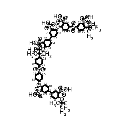 CC(C)(C)Oc1ccc(-c2ccc(Oc3ccc(S(=O)(=O)c4ccc(C(C)(C)C(C)(P)Oc5ccc(-c6ccc(Oc7ccc(S(=O)(=O)c8ccc(C(C)(C)C)c(S(=O)(=O)O)c8)cc7S(=O)(=O)O)c(S(=O)(=O)O)c6)cc5S(=O)(=O)O)cc4)cc3)c(S(=O)(=O)O)c2)cc1S(=O)(=O)O